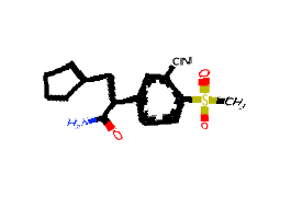 CS(=O)(=O)c1ccc(C(CC2CCCC2)C(N)=O)cc1C#N